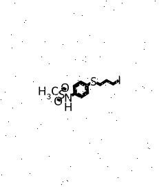 CS(=O)(=O)Nc1ccc(SCCCI)cc1